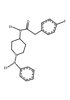 CCN(C(=O)Cc1ccc(F)cc1)C1CCN(N(CC)c2ccccc2)CC1